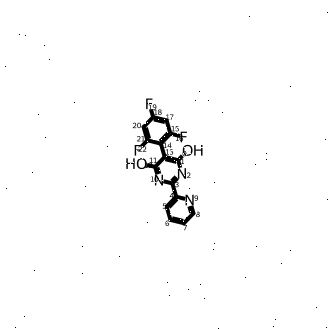 Oc1nc(-c2ccccn2)nc(O)c1-c1c(F)cc(F)cc1F